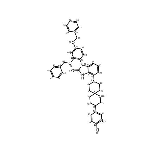 O=c1[nH]c2c(N3CCC4(CCC(c5ccc(Cl)nc5)CO4)CC3)cccc2n1-c1ccc(OCc2ccccc2)nc1OCc1ccccc1